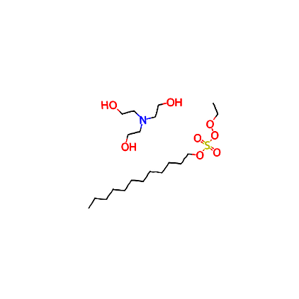 CCCCCCCCCCCCOS(=O)(=O)OOCC.OCCN(CCO)CCO